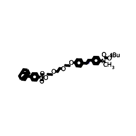 CN(C(=O)OC(C)(C)C)c1ccc(/C=C/c2ccc(OCCOCCOCCOS(=O)(=O)c3ccc(C45CC6CC(CC(C6)C4)C5)cc3)cc2)cc1